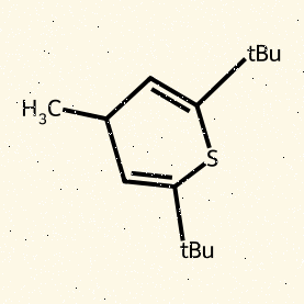 CC1C=C(C(C)(C)C)SC(C(C)(C)C)=C1